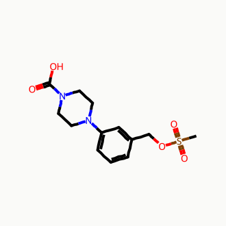 CS(=O)(=O)OCc1cccc(N2CCN(C(=O)O)CC2)c1